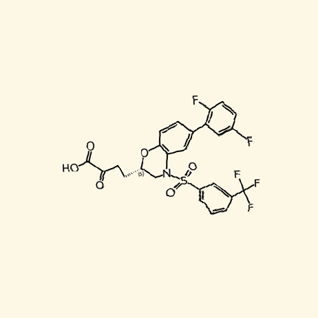 O=C(O)C(=O)CC[C@H]1CN(S(=O)(=O)c2cccc(C(F)(F)F)c2)c2cc(-c3cc(F)ccc3F)ccc2O1